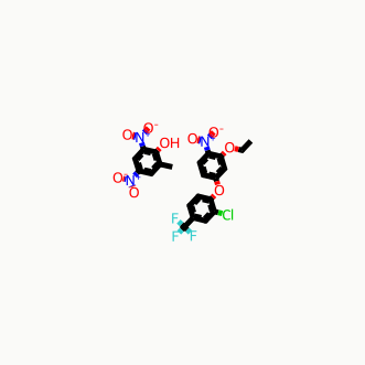 CCOc1cc(Oc2ccc(C(F)(F)F)cc2Cl)ccc1[N+](=O)[O-].Cc1cc([N+](=O)[O-])cc([N+](=O)[O-])c1O